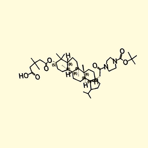 CC(C)C1CC[C@]2(CC(=O)N3CCN(C(=O)OC(C)(C)C)CC3)CC[C@]3(C)[C@H](CC[C@@H]4[C@@]5(C)CC[C@H](OC(=O)CC(C)(C)CC(=O)O)C(C)(C)[C@@H]5CC[C@]43C)[C@@H]12